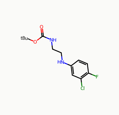 CC(C)(C)OC(=O)NCCNc1ccc(F)c(Cl)c1